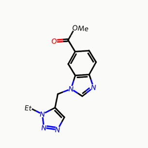 CCn1nncc1Cn1cnc2ccc(C(=O)OC)cc21